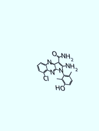 Cc1ccc(O)c(C)c1-n1c(N)c(C(N)=O)c2nc3cccc(Cl)c3nc21